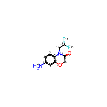 Nc1ccc2c(c1)OCC(=O)N2CC(F)F